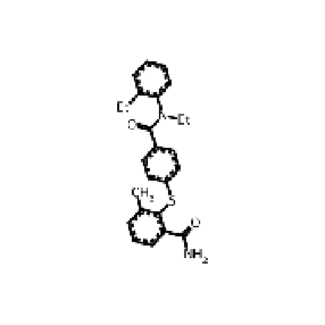 CCc1ccccc1N(CC)C(=O)c1ccc(Sc2c(C)cccc2C(N)=O)cc1